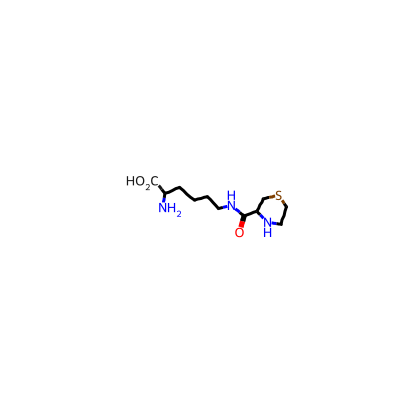 NC(CCCCNC(=O)C1CSCCN1)C(=O)O